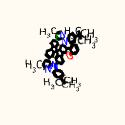 Cc1ccc(N(c2ccc(C(C)(C)C)cc2)c2ccc3c(c2)C2(c4ccccc4-c4ccc(F)cc42)c2cc(N(c4ccc(C(C)(C)C)cc4)c4ccc(C)cn4)c4c(oc5ccccc54)c2-3)nc1